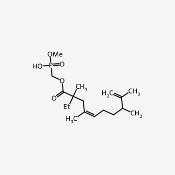 C=C(C)C(C)CC/C=C(/C)CC(C)(CC)C(=O)OCP(=O)(O)OC